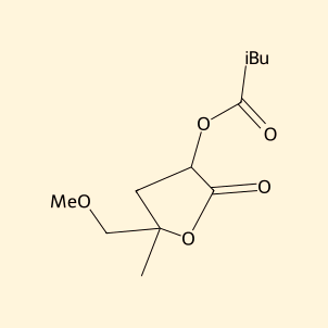 CCC(C)C(=O)OC1CC(C)(COC)OC1=O